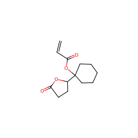 C=CC(=O)OC1(C2CCC(=O)O2)CCCCC1